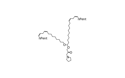 CCCCC/C=C\C/C=C\CCCCCCCCCC(OCCCCCCCC/C=C\C/C=C\CCCCC)OCC(=O)CN1CCCC1